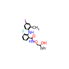 CCCC(O)CONC(=O)c1cccc(F)c1Nc1ccc(I)cc1C